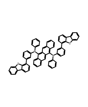 c1ccc(N(c2cccc(-c3cccc4c3sc3ccccc34)c2)c2c3ccccc3cc3c(N(c4ccccc4)c4cccc(-c5cccc6c5sc5ccccc56)c4)c4ccccc4cc23)cc1